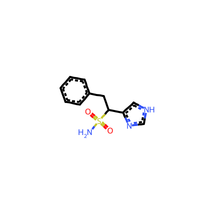 NS(=O)(=O)C(Cc1ccccc1)c1c[nH]cn1